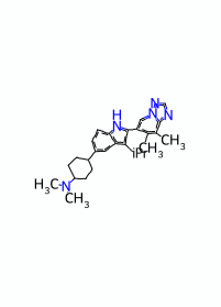 Cc1c(-c2[nH]c3ccc(C4CCC(N(C)C)CC4)cc3c2C(C)C)cn2ncnc2c1C